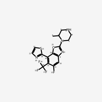 CC1CNCCN1c1nc2cc(F)c(C(F)(F)F)c(-c3nccs3)c2o1